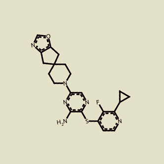 Nc1nc(N2CCC3(CC2)Cc2ncoc2C3)cnc1Sc1ccnc(C2CC2)c1F